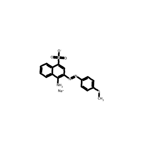 CSc1ccc(N=Nc2cc(S(=O)(=O)[O-])c3ccccc3c2N)cc1.[Na+]